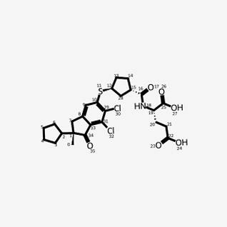 C[C@@]1(C2CCCC2)Cc2cc(S[C@H]3CC[C@H](C(=O)N[C@@H](CCC(=O)O)C(=O)O)C3)c(Cl)c(Cl)c2C1=O